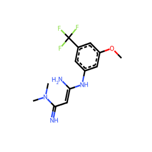 COc1cc(N/C(N)=C/C(=N)N(C)C)cc(C(F)(F)F)c1